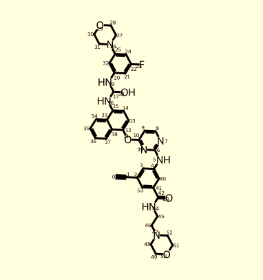 C#Cc1cc(Nc2nccc(Oc3ccc(NC(O)Nc4cc(F)cc(N5CCOCC5)c4)c4ccccc34)n2)cc(C(=O)NCCN2CCOCC2)c1